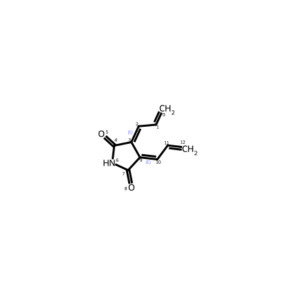 C=C/C=C1/C(=O)NC(=O)/C1=C/C=C